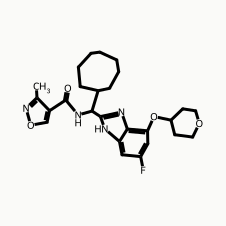 Cc1nocc1C(=O)NC(c1nc2c(OC3CCOCC3)cc(F)cc2[nH]1)C1CCCCCCC1